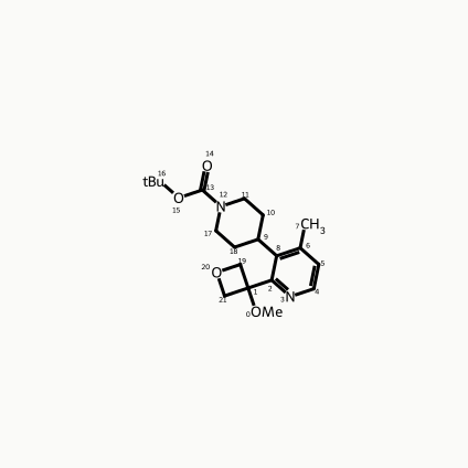 COC1(c2nccc(C)c2C2CCN(C(=O)OC(C)(C)C)CC2)COC1